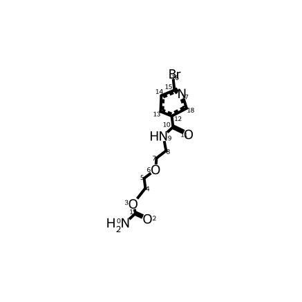 NC(=O)OCCOCCNC(=O)c1ccc(Br)nc1